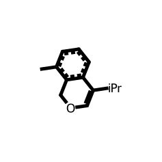 Cc1cccc2c1COC=C2C(C)C